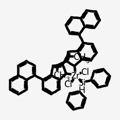 CCC1=Cc2c(-c3cccc4ccccc34)cccc2[CH]1[Zr]([Cl])([Cl])([CH]1C(CC)=Cc2c(-c3cccc4ccccc34)cccc21)[SiH](c1ccccc1)c1ccccc1